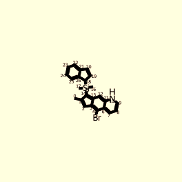 Cc1cc2c(Br)c3ccc[nH]c3cc2c1[Si](C)(C)C1C=Cc2ccccc21